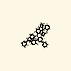 C1=CC2Oc3c(-c4ccccc4)ccc(N(c4ccc5c(c4)C4(c6ccccc6Oc6ccccc64)c4ccccc4-5)c4ccc5oc(-c6ccccc6)cc5c4)c3C2C=C1